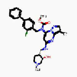 CCc1cnn2c(N(Cc3ccc(-c4ccccc4)cc3F)C(=O)OC(C)(C)C)cc(NC[C@H]3CCN(C(C)(C)C)C[C@@H]3O)nc12